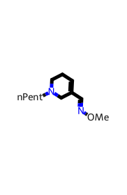 CCCCCN1CCC=C(C=NOC)C1